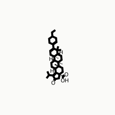 CCC1CC=C(C2=CC[C@]3(C)[C@H]4CC[C@@H]5C6=C(C(C)C)C(=O)C[C@]6(C(=O)O)CC[C@@]5(C)[C@]4(C)CC[C@H]3C2(C)C)CC1